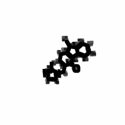 Cc1nccn1CC1CCC2=C(C1=O)c1ccccc1C2C